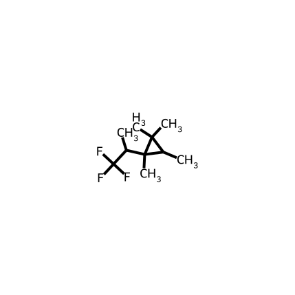 CC(C(F)(F)F)C1(C)C(C)C1(C)C